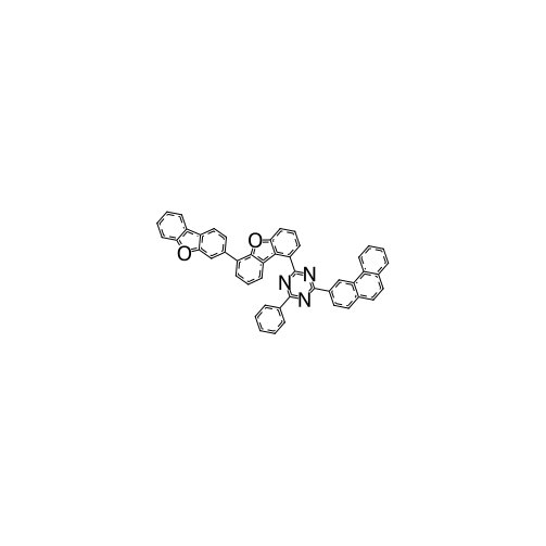 c1ccc(-c2nc(-c3ccc4ccc5ccccc5c4c3)nc(-c3cccc4oc5c(-c6ccc7c(c6)oc6ccccc67)cccc5c34)n2)cc1